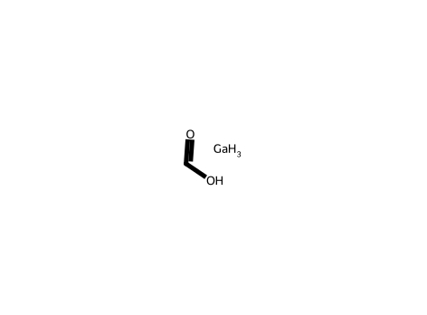 O=CO.[GaH3]